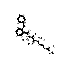 CC(C)SCC[C@@H](N)C(O)C(=O)N(N)C(=O)c1ccccc1Cc1ccccc1